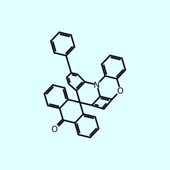 O=C1c2ccccc2C2(c3ccccc31)c1ccc(-c3ccccc3)cc1N1c3ccccc3Oc3cccc2c31